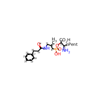 CCCCCC(N)C(OP(=O)(O)CC(C)CNC(=O)CCc1ccccc1)C(=O)O